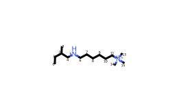 CCC(C)CNCCCCCC[N+](C)(C)C